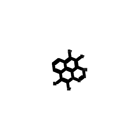 Brc1c(Br)c2cccc3c(Br)c(Br)n4nn[nH]c1c-4c23